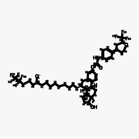 C[C@]12CC[C@@H]3c4ccc(OC(=O)Nc5ccc(N6CCOC(C(F)(F)F)C6)cc5)cc4C[C@@H](CCCCCCCCC[S+]([O-])CCCC(F)(F)C(F)(F)F)[C@H]3[C@@H]1CC[C@@H]2O